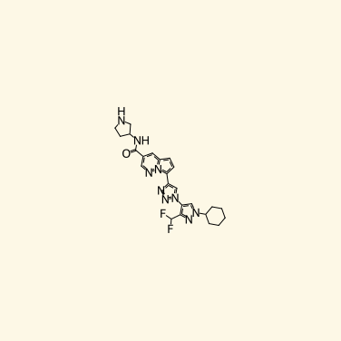 O=C(NC1CCNC1)c1cnn2c(-c3cn(-c4cn(C5CCCCC5)nc4C(F)F)nn3)ccc2c1